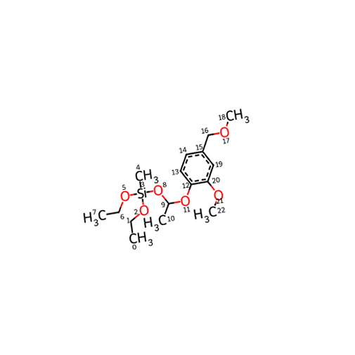 CCO[Si](C)(OCC)OC(C)Oc1ccc(COC)cc1OC